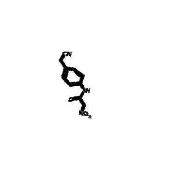 N#CCc1ccc(NC(=O)C[N+](=O)[O-])cc1